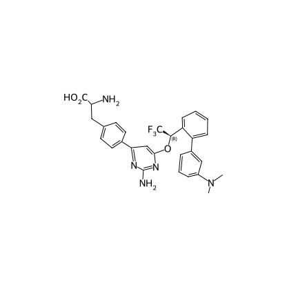 CN(C)c1cccc(-c2ccccc2[C@@H](Oc2cc(-c3ccc(CC(N)C(=O)O)cc3)nc(N)n2)C(F)(F)F)c1